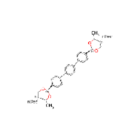 CCCCCCCCCC[C@@H]1CO[C@@H](c2ccc(-c3ccc(-c4ccc([C@@H]5OC[C@@H](CCCCCCCCCC)C(C)O5)cc4)cc3)cc2)OC1C